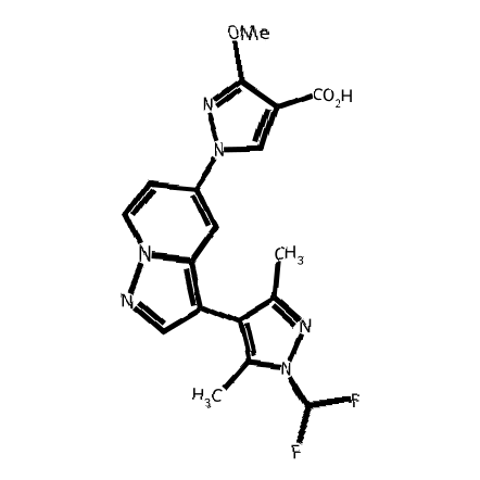 COc1nn(-c2ccn3ncc(-c4c(C)nn(C(F)F)c4C)c3c2)cc1C(=O)O